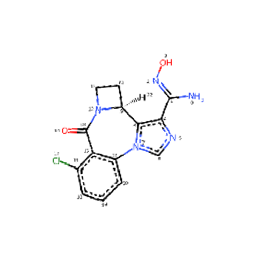 NC(=NO)c1ncn2c1[C@@H]1CCN1C(=O)c1c(Cl)cccc1-2